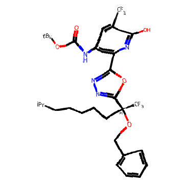 CC(C)CCCCC[C@@](OCc1ccccc1)(c1nnc(-c2nc(O)c(C(F)(F)F)cc2NC(=O)OC(C)(C)C)o1)C(F)(F)F